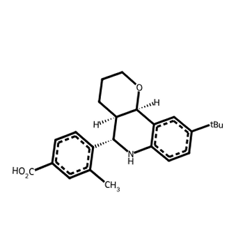 Cc1cc(C(=O)O)ccc1[C@H]1Nc2ccc(C(C)(C)C)cc2[C@@H]2OCCC[C@H]12